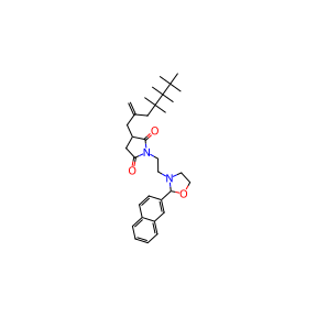 C=C(CC1CC(=O)N(CCN2CCOC2c2ccc3ccccc3c2)C1=O)CC(C)(C)C(C)(C)C(C)(C)C